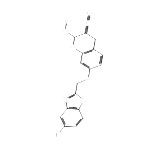 CCOC1Oc2cc(OCc3nc4cc(F)ccc4s3)ccc2CC1=C=O